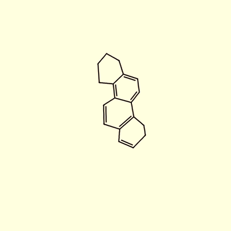 C1=Cc2ccc3c4c(ccc3c2CC1)CCCC4